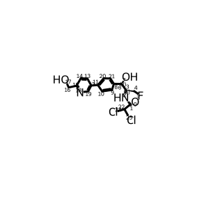 O=C(N[C@H](CF)[C@H](O)c1ccc(-c2ccc(CO)nc2)cc1)C(Cl)Cl